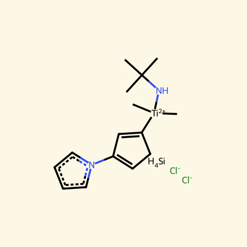 CC(C)(C)[NH][Ti+2]([CH3])([CH3])[C]1=CC(n2cccc2)=CC1.[Cl-].[Cl-].[SiH4]